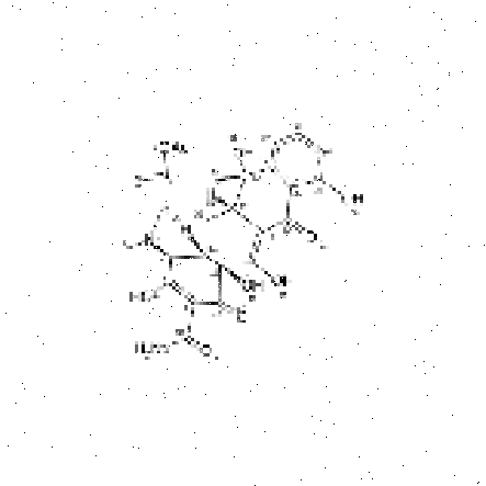 C=COC(C)=O.CN(C)[C@@H]1C(O)=C(C(N)=O)C(=O)[C@@]2(O)C(O)=C3C(=O)c4c(O)cccc4[C@@](C)(O)[C@H]3C[C@@H]12